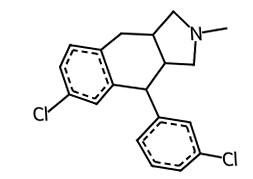 CN1CC2Cc3ccc(Cl)cc3C(c3cccc(Cl)c3)C2C1